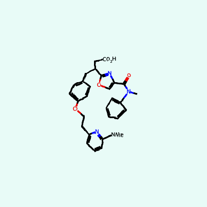 CNc1cccc(CCOc2ccc(CC(CC(=O)O)c3nc(C(=O)N(C)c4ccccc4)co3)cc2)n1